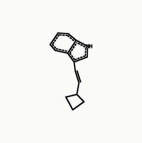 C(=CC1CCC1)c1c[nH]c2ccccc12